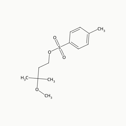 COC(C)(C)CCOS(=O)(=O)c1ccc(C)cc1